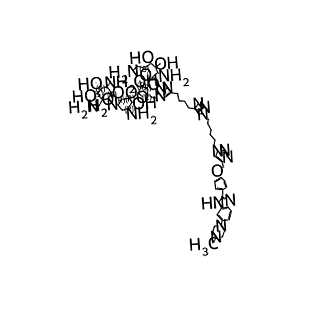 CN1CCN(c2ccc3nc(-c4ccc(OCc5cn(CCCCCCn6cc(CCCCc7cn(C[C@H]8OC(O[C@@H]9C(O)[C@H](N)CC(N)[C@H]9O[C@H]9OC(CN)[C@@H](O)[C@H](O)C9N)[C@@H](O)[C@H]8OC8O[C@@H](CN)C(O)C(O)C8N)nn7)nn6)nn5)cc4)[nH]c3c2)CC1